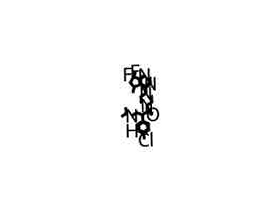 CC(C)NCC(C(=O)N1CCN(c2ncnc3c2C(C)CC3(F)F)CC1)c1ccc(Cl)cc1